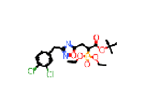 CCOP(=O)(OCC)C(Cc1nc(Cc2ccc(Cl)c(Cl)c2)no1)C(=O)OC(C)(C)C